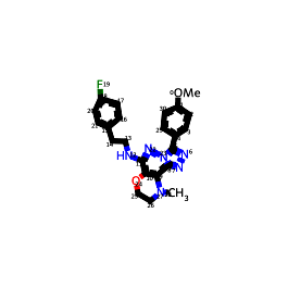 COc1ccc(-c2nnc3c4c(c(NCCc5ccc(F)cc5)nn23)OCCN4C)cc1